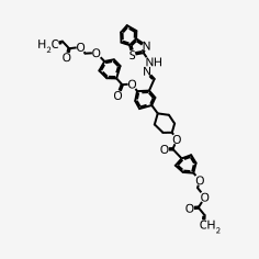 C=CC(=O)OCOc1ccc(C(=O)Oc2ccc(C3CCC(OC(=O)c4ccc(OCOC(=O)C=C)cc4)CC3)cc2/C=N/Nc2nc3ccccc3s2)cc1